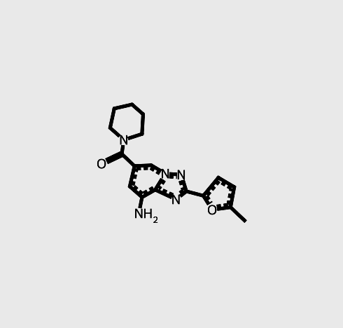 Cc1ccc(-c2nc3c(N)cc(C(=O)N4CCCCC4)cn3n2)o1